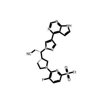 CCS(=O)(=O)c1ccc(F)c(N2CC[C@H]([C@H](CC#N)n3cc(-c4ncnc5[nH]ccc45)cn3)C2)n1